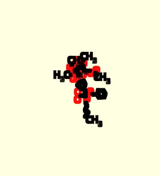 CCC=CCCOc1c(OCc2ccccc2)c2ccc(O[C@H]3O[C@H](COC(C)=O)[C@@H](OC(C)=O)[C@H](OC(C)=O)[C@@H]3OC(C)=O)cc2oc1=O